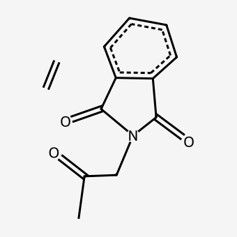 C=C.CC(=O)CN1C(=O)c2ccccc2C1=O